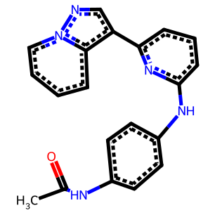 CC(=O)Nc1ccc(Nc2cccc(-c3cnn4ccccc34)n2)cc1